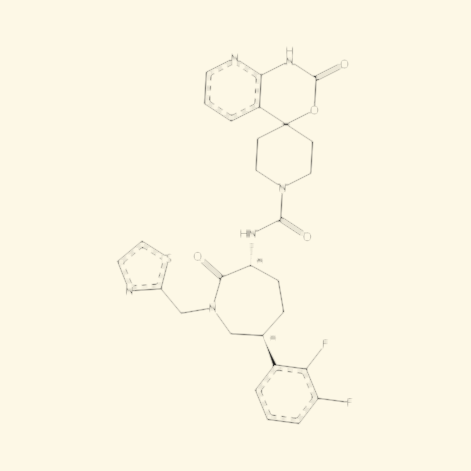 O=C1Nc2ncccc2C2(CCN(C(=O)N[C@@H]3CC[C@@H](c4cccc(F)c4F)CN(Cc4nccs4)C3=O)CC2)O1